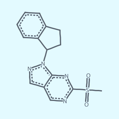 CS(=O)(=O)c1ncc2cnn(C3CCc4ccccc43)c2n1